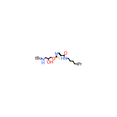 CC(C)CCCCNC(=O)c1cnc(OCC(O)CNC(C)(C)C)s1